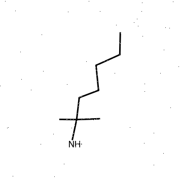 CCCCCC(C)(C)[NH]